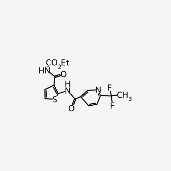 CCOC(=O)NC(=O)c1ccsc1NC(=O)c1ccc(C(C)(F)F)nc1